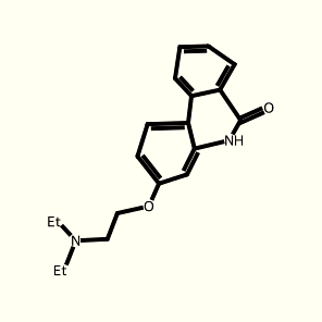 CCN(CC)CCOc1ccc2c(c1)[nH]c(=O)c1ccccc12